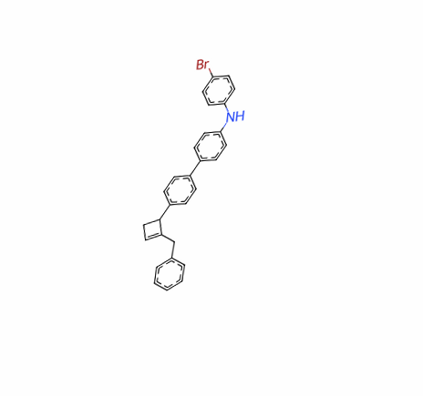 Brc1ccc(Nc2ccc(-c3ccc(C4CC=C4Cc4ccccc4)cc3)cc2)cc1